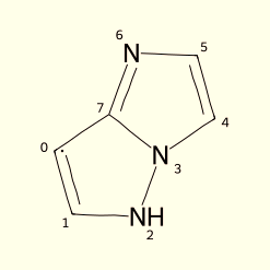 [c]1c[nH]n2ccnc12